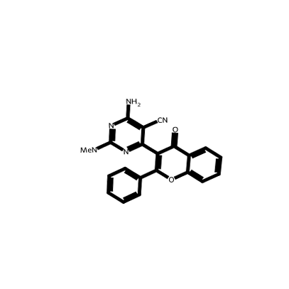 CNc1nc(N)c(C#N)c(-c2c(-c3ccccc3)oc3ccccc3c2=O)n1